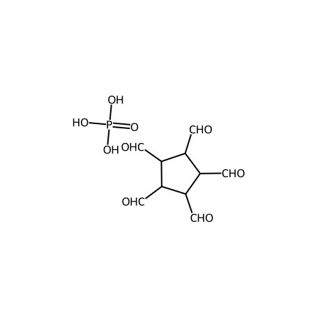 O=CC1C(C=O)C(C=O)C(C=O)C1C=O.O=P(O)(O)O